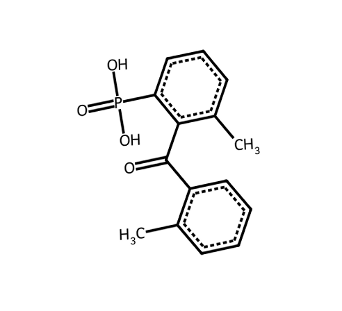 Cc1ccccc1C(=O)c1c(C)cccc1P(=O)(O)O